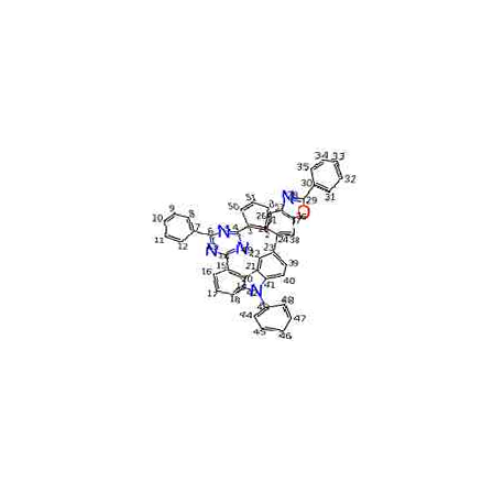 c1ccc(-c2nc(-c3ccccc3)nc(-c3cccc4c3c3cc(-c5ccc6nc(-c7ccccc7)oc6c5)ccc3n4-c3ccccc3)n2)cc1